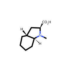 CN1[C@H](C(=O)O)C[C@H]2CCCC[C@@H]21